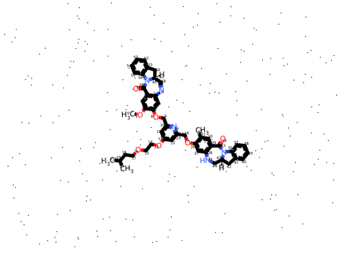 COc1cc2c(cc1OCc1cc(OCCOCCC(C)C)cc(COc3cc4c(cc3C)C(=O)N3c5ccccc5C[C@H]3CN4)n1)N=C[C@@H]1Cc3ccccc3N1C2=O